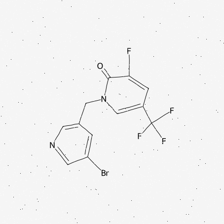 O=c1c(F)cc(C(F)(F)F)cn1Cc1cncc(Br)c1